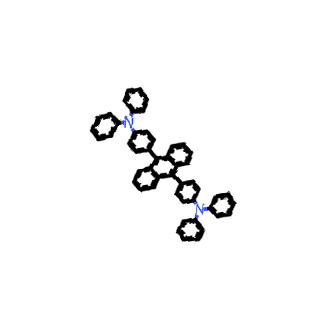 c1ccc(N(c2ccccc2)c2ccc(-c3c4ccccc4c(-c4ccc(N(c5ccccc5)c5ccccc5)cc4)c4ccccc34)cc2)cc1